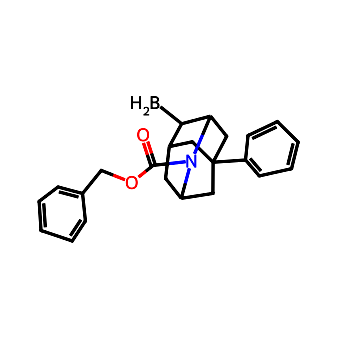 BC1C2CC3CC(c4ccccc4)(C2)CC1N3C(=O)OCc1ccccc1